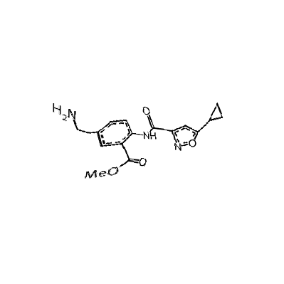 COC(=O)c1cc(CN)ccc1NC(=O)c1cc(C2CC2)on1